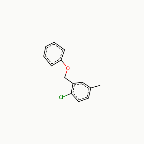 Cc1ccc(Cl)c(COc2ccccc2)c1